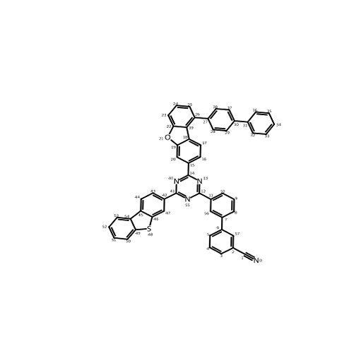 N#Cc1cccc(-c2cccc(-c3nc(-c4ccc5c(c4)oc4cccc(-c6ccc(-c7ccccc7)cc6)c45)nc(-c4ccc5c(c4)sc4ccccc45)n3)c2)c1